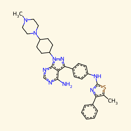 Cc1sc(Nc2ccc(-c3nn(C4CCC(N5CCN(C)CC5)CC4)c4ncnc(N)c34)cc2)nc1-c1ccccc1